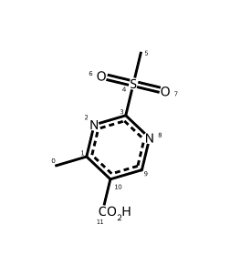 Cc1nc(S(C)(=O)=O)ncc1C(=O)O